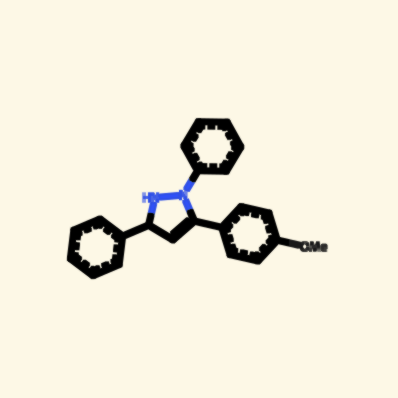 COc1ccc(C2=CC(c3ccccc3)NN2c2ccccc2)cc1